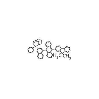 CC1(C)c2ccccc2-c2ccc(-c3c4ccccc4c(-c4cc5c(c6ccccc46)-c4ccccc4C54C5CC6CC(C5)CC4C6)c4ccccc34)cc21